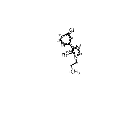 CCCn1cnc(-c2cc(Cl)ccn2)c1Br